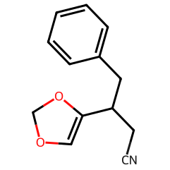 N#CCC(Cc1ccccc1)C1=COCO1